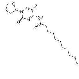 CCCCCCCCCCCC(=O)Nc1nc(=O)n(C2CCCO2)cc1F